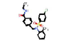 CC1CCCCC1N(Cc1ccc(C(=O)NCC(F)(F)F)cc1)S(=O)(=O)c1ccc(Cl)cc1